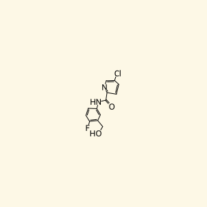 O=C(Nc1ccc(F)c(CO)c1)c1ccc(Cl)cn1